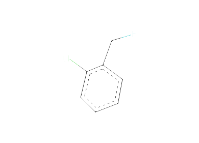 F[CH]c1ccccc1Cl